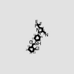 N#Cc1cc(C(F)(F)F)nn1-c1ccc(NC(=O)c2ccccc2Cl)cc1